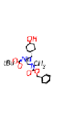 CN(C[C@H](C[C@H]1CC[C@H](O)CC1)NC(=O)OC(C)(C)C)C(=O)OCc1ccccc1